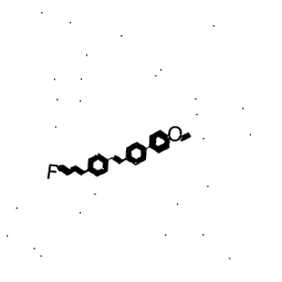 CCOc1ccc([C@H]2CC[C@H](CC[C@H]3CC[C@H](CC/C=C/F)CC3)CC2)cc1